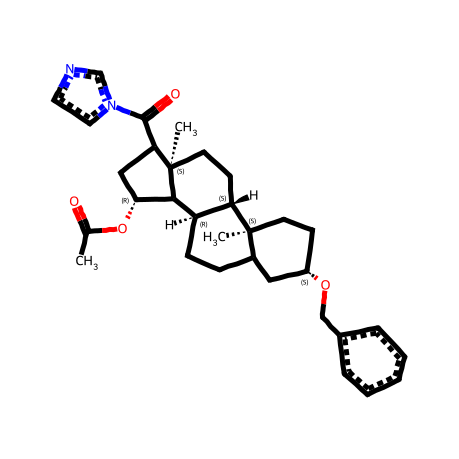 CC(=O)O[C@@H]1CC(C(=O)n2ccnc2)[C@@]2(C)CC[C@H]3[C@@H](CCC4C[C@@H](OCc5ccccc5)CC[C@@]43C)C12